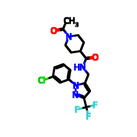 CC(=O)N1CCC(C(=O)NCc2cc(C(F)(F)F)nn2-c2cccc(Cl)c2)CC1